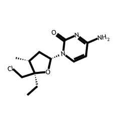 CC[C@@]1(CCl)O[C@@H](n2ccc(N)nc2=O)C[C@H]1C